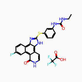 CCNC(=O)Nc1cccc(Sc2nc3c4ccc(F)cc4c4c(=O)[nH]ccc4c3[nH]2)c1.O=C(O)C(F)(F)F